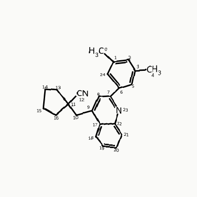 Cc1cc(C)cc(-c2cc(CC3(C#N)CCCC3)c3ccccc3n2)c1